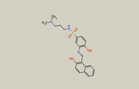 CN(C)CCCNS(=O)(=O)c1ccc(O)c(N=Cc2c(O)ccc3ccccc23)c1